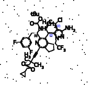 C=C/C(c1c([C@H](Cc2cc(F)cc(F)c2)NC(=O)OC(C)(C)C)nc(C#CC(C)(C)S(=O)(=O)C2CC2)c2c1CCC2)=c1\c(=C(/C)Cl)c(N)nn1CC(F)(F)F